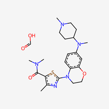 Cc1nc(N2CCOc3cc(N(C)C4CCN(C)CC4)ccc32)sc1C(=O)N(C)C.O=CO